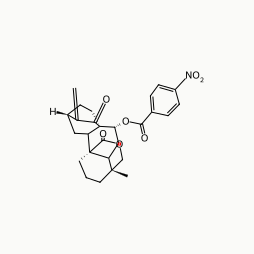 C=C1C(=O)[C@]23CC[C@H]1CC2[C@@]12CCC[C@@](C)(COC1=O)C2C[C@H]3OC(=O)c1ccc([N+](=O)[O-])cc1